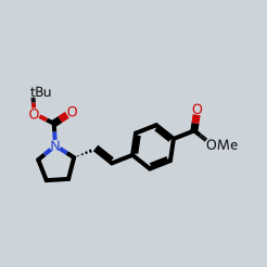 COC(=O)c1ccc(/C=C/[C@@H]2CCCN2C(=O)OC(C)(C)C)cc1